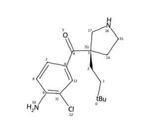 CC(C)(C)CC[C@]1(C(=O)c2ccc(N)c(Cl)c2)CCNC1